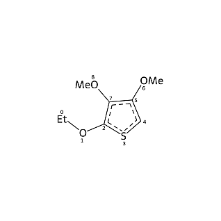 CCOc1scc(OC)c1OC